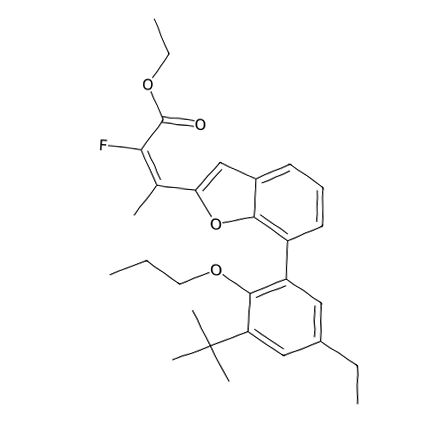 CCCOc1c(-c2cccc3cc(/C(C)=C(/F)C(=O)OCC)oc23)cc(CC)cc1C(C)(C)C